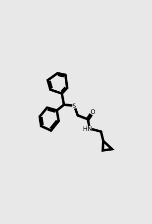 O=C(CSC(c1ccccc1)c1ccccc1)NCC1CC1